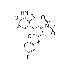 Cc1cc(Oc2ccc(F)cc2F)c(-c2cn(C)c(=O)c3[nH]ccc23)cc1N1C(=O)CCC1=O